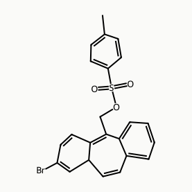 Cc1ccc(S(=O)(=O)OCC2=C3C=CC(Br)=CC3C=Cc3ccccc32)cc1